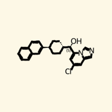 O[C@H](c1cc(Cl)cc2cncn12)[C@H]1CC[C@H](c2ccc3ccccc3c2)CC1